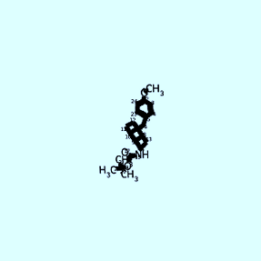 COc1ccc(CC23C4C5C2C2C3C4C52NC(=O)OC(C)(C)C)cc1